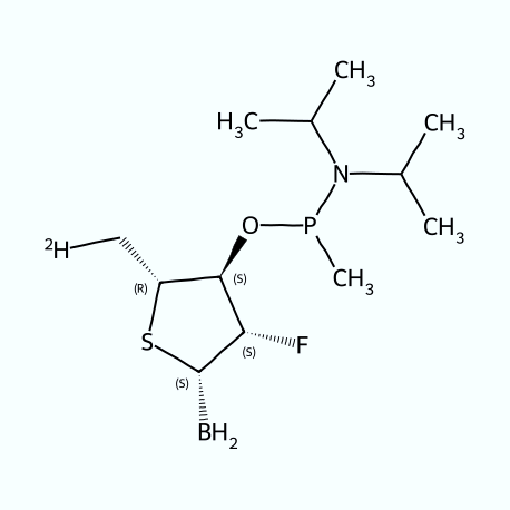 [2H]C[C@H]1S[C@@H](B)[C@@H](F)[C@@H]1OP(C)N(C(C)C)C(C)C